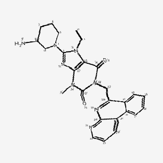 CCn1c(N2CCCC(N)C2)nc2c1c(=O)n(Cc1nc3ncccc3c3ccccc13)c(=O)n2C